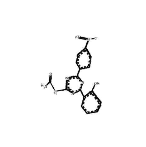 NC(=O)Nc1nc(-c2ccc([N+](=O)[O-])cc2)nc(-c2ccccc2O)n1